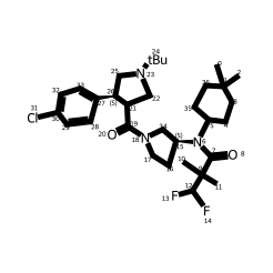 CC1(C)CCC(N(C(=O)C(C)(C)C(F)F)[C@H]2CCN(C(=O)C3CN(C(C)(C)C)C[C@@H]3c3ccc(Cl)cc3)C2)CC1